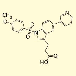 COc1ccc(S(=O)(=O)n2cc(CCC(=O)O)c3cc(-c4cccnc4)ccc32)cc1